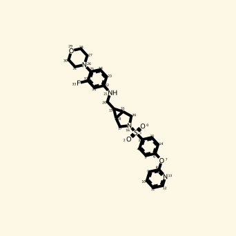 O=S(=O)(c1ccc(Oc2ccccn2)cc1)N1CC2C(CNc3ccc(N4CCOCC4)c(F)c3)C2C1